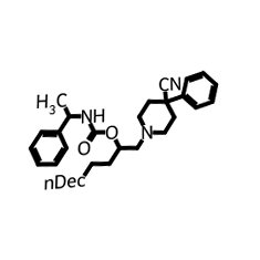 CCCCCCCCCCCCC(CN1CCC(C#N)(c2ccccc2)CC1)OC(=O)NC(C)c1ccccc1